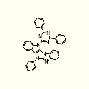 c1ccc(-c2nc(-c3ccccc3)nc(-n3c4ccccc4c4c3n3c5ccccc5nc3n4-c3ccccc3)n2)cc1